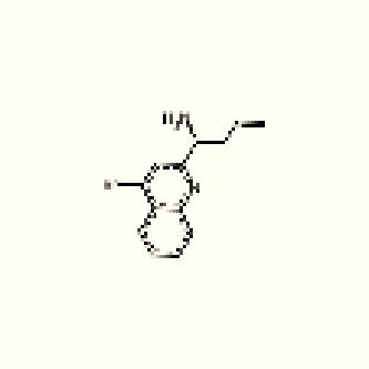 C=CC[C@H](N)c1cc(Br)c2ccccc2n1